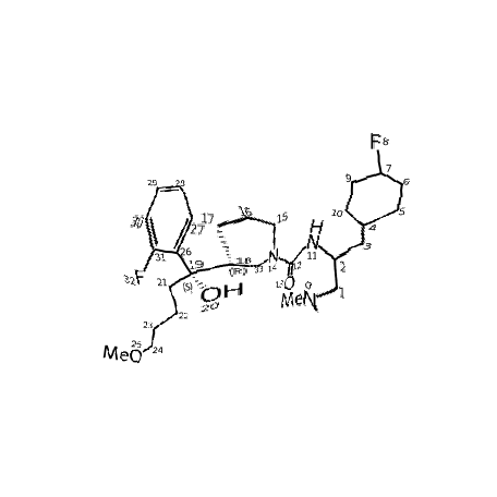 CNCC(CC1CCC(F)CC1)NC(=O)N1CCC[C@@H]([C@@](O)(CCCCOC)c2ccccc2F)C1